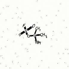 CCC[Si](C)(C)OS(=O)(=O)F